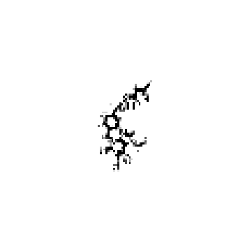 CCn1cnc2c1c(=O)[nH]c(=O)n2Cc1ccc(CNSc2cc(C)ns2)cc1